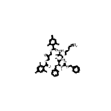 Cc1cc(C)c(C(=O)OCC(=O)COC(=O)c2c(C)cc(C)cc2C)c(C)c1.NCCCC[C@H](NC(=O)[C@H](Cc1ccccc1)NC(=O)OCc1ccccc1)C(=O)O